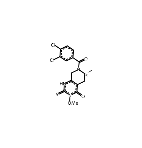 COn1c(=S)[nH]c2c(c1=O)C[C@@H](C)N(C(=O)c1ccc(Cl)c(Cl)c1)C2